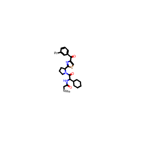 CNCC(=O)NC(C(=O)N1CCCC1c1nc(C(=O)c2cccc(C(C)C)c2)cs1)C1CCCCC1